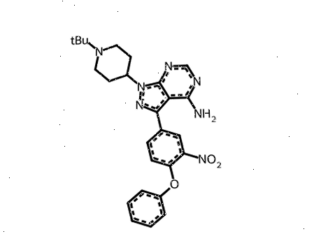 CC(C)(C)N1CCC(n2nc(-c3ccc(Oc4ccccc4)c([N+](=O)[O-])c3)c3c(N)ncnc32)CC1